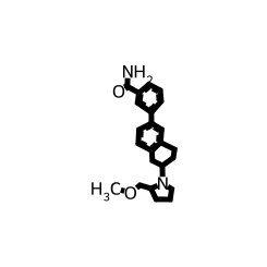 COCC1CCCN1C1CCc2cc(-c3cccc(C(N)=O)c3)ccc2C1